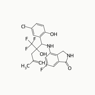 C=C(C)CC(O)(C(Nc1cc(F)cc2c1CNC2=O)c1cc(Cl)ccc1O)C(F)(F)F